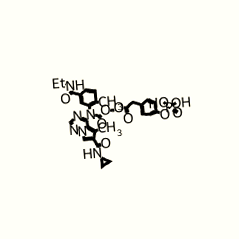 CCNC(=O)c1ccc(C)c(N(C(=O)OCOC(=O)Cc2ccc(OP(=O)(O)O)cc2)c2ncnn3cc(C(=O)NC4CC4)c(C)c23)c1